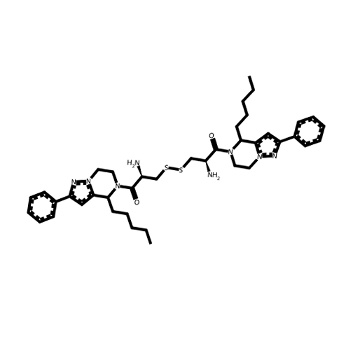 CCCCCC1c2cc(-c3ccccc3)nn2CCN1C(=O)[C@@H](N)CSSC[C@H](N)C(=O)N1CCn2nc(-c3ccccc3)cc2C1CCCCC